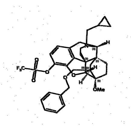 CO[C@]12CC[C@@]3(C[C@@H]1COCc1ccccc1)[C@H]1Cc4ccc(OS(=O)(=O)C(F)(F)F)c5c4[C@@]3(CCN1CC1CC1)[C@H]2O5